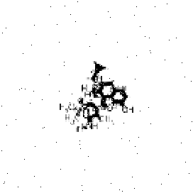 C/C(C(=O)NC(C)C)=C(/CS(=O)(=O)N(C)C)[C@@H]1Oc2c(O)ccc3c2[C@@]12CCN(CC1CC1)[C@H](C3)[C@@]2(C)O